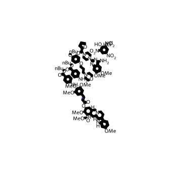 CCCCOC(=O)c1ccc(N)cc1.CCCCOC(=O)c1ccc(N)cc1.CCCCOc1ccc(OCCCN2CCOCC2)cc1.COC(=O)[C@H]1[C@H]2C[C@@H]3c4[nH]c5cc(OC)ccc5c4CCN3C[C@H]2C[C@@H](OC(=O)/C=C/c2cc(OC)c(OC)c(OC)c2)[C@@H]1OC.COc1cc2nc(N3CCN(C(=O)c4ccco4)CC3)nc(N)c2cc1OC.Cl.Cl.O=[N+]([O-])c1cc([N+](=O)[O-])c(O)c([N+](=O)[O-])c1